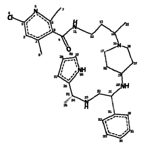 Cc1cc(Cl)nc(C)c1C(=O)NCCC(C)N1CCC(NC(CN[C@H](C)c2ccc[nH]2)c2ccccc2)CC1